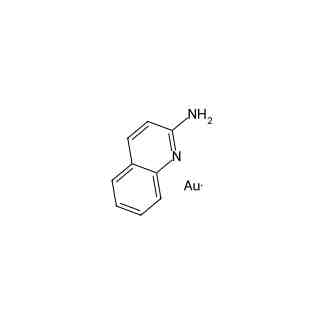 Nc1ccc2ccccc2n1.[Au]